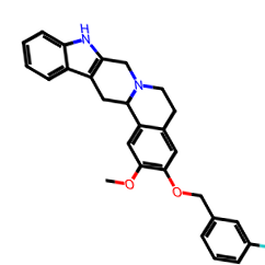 COc1cc2c(cc1OCc1cccc(F)c1)CCN1Cc3[nH]c4ccccc4c3CC21